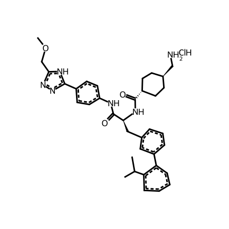 COCc1nnc(-c2ccc(NC(=O)[C@H](Cc3cccc(-c4ccccc4C(C)C)c3)NC(=O)[C@H]3CC[C@H](CN)CC3)cc2)[nH]1.Cl